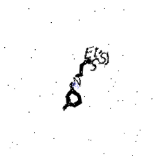 CCC(CCC/N=C/c1cccc(C)c1)S[Si](C)(C)C